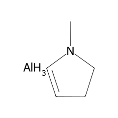 CN1C=CCC1.[AlH3]